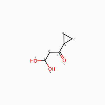 O=C(CC(O)O)C1CC1